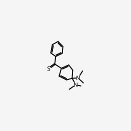 CN(C)C1(N(C)C)C=CC(C(=S)c2ccccc2)=CC1